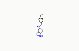 CCc1ccc(CNc2ccc3[nH]cnc3c2)cc1